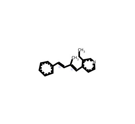 CCc1cnccc1/C=C(C)/C=C/c1ccccc1